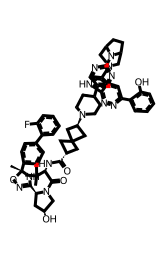 CC(C)(C)[C@H](NC(=O)[C@H]1CC2(C1)C[C@H](N1CCC(c3cnc(N4C5CCC4CN(c4c[nH]c6nnc(-c7ccccc7O)cc46)C5)nc3)CC1)C2)C(=O)N1C[C@H](O)C[C@H]1C1=NO[C@](C)(c2ccc(-c3ccccc3F)cc2)N1